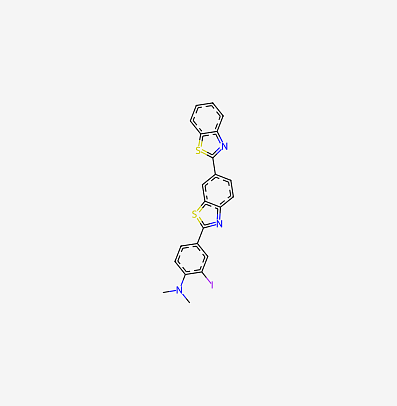 CN(C)c1ccc(-c2nc3ccc(-c4nc5ccccc5s4)cc3s2)cc1I